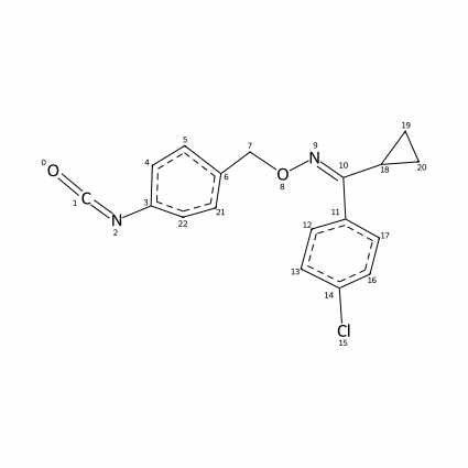 O=C=Nc1ccc(CON=C(c2ccc(Cl)cc2)C2CC2)cc1